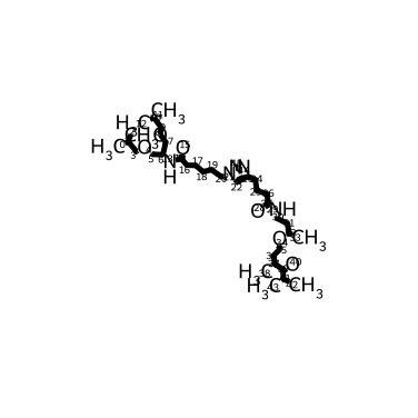 CC(C)COCC(COCC(C)C)NC(=O)CCCCCn1cc(CCCC(=O)NCCC(C)OCCC(C)C(=O)C(C)C)nn1